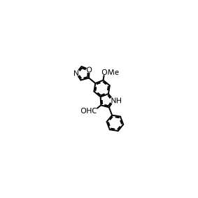 COc1cc2[nH]c(-c3ccccc3)c(C=O)c2cc1-c1cnco1